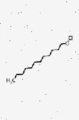 CCCCCCCCCCCCOCl